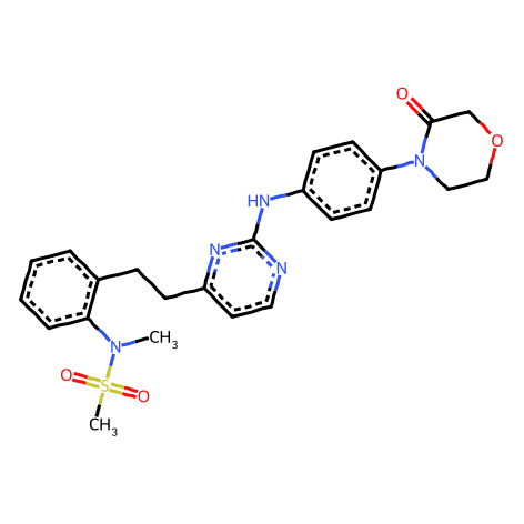 CN(c1ccccc1CCc1ccnc(Nc2ccc(N3CCOCC3=O)cc2)n1)S(C)(=O)=O